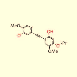 COc1ccc(C#Cc2cc(OC)c(OC(C)C)cc2O)cc1[O]